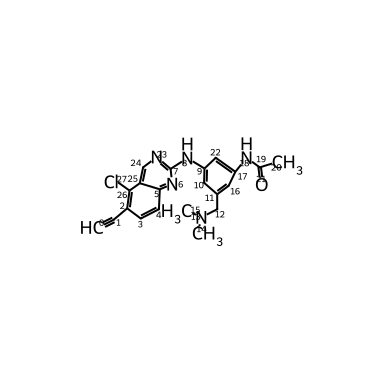 C#Cc1ccc2nc(Nc3cc(CN(C)C)cc(NC(C)=O)c3)ncc2c1Cl